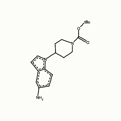 CC(C)(C)OC(=O)N1CCC(n2ccc3cc(N)ccc32)CC1